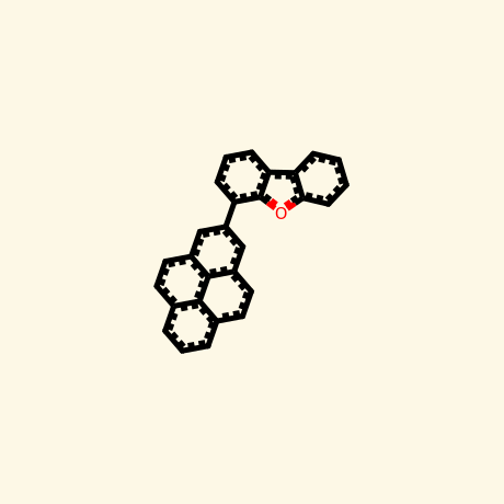 c1cc2ccc3cc(-c4cccc5c4oc4ccccc45)cc4ccc(c1)c2c34